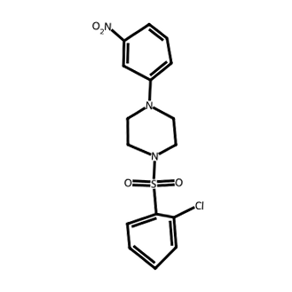 O=[N+]([O-])c1cccc(N2CCN(S(=O)(=O)c3ccccc3Cl)CC2)c1